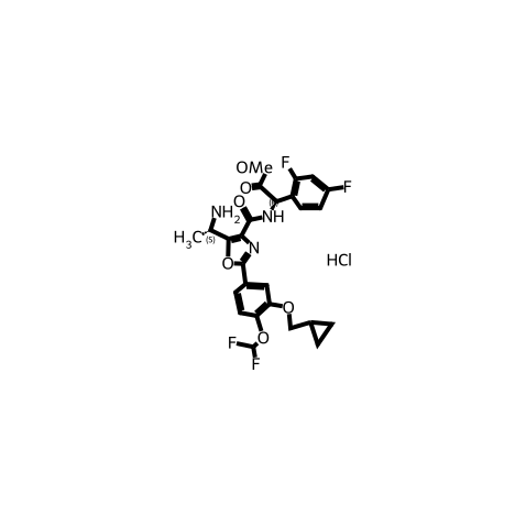 COC(=O)[C@H](NC(=O)c1nc(-c2ccc(OC(F)F)c(OCC3CC3)c2)oc1[C@H](C)N)c1ccc(F)cc1F.Cl